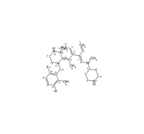 C=CC(=C\N(C)C1CCNCC1)/C(=C/C)C(/C)=C1\C(=C)NCCN1Cc1c(F)ccc(F)c1O